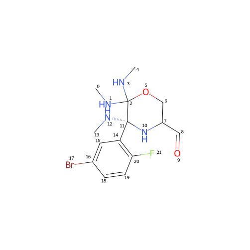 CNC1(NC)OCC(C=O)N[C@@]1(NC)c1cc(Br)ccc1F